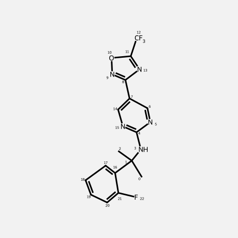 CC(C)(Nc1ncc(-c2noc(C(F)(F)F)n2)cn1)c1ccccc1F